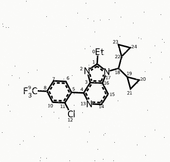 CCc1nc2c(-c3ccc(C(F)(F)F)cc3Cl)nccc2n1C(C1CC1)C1CC1